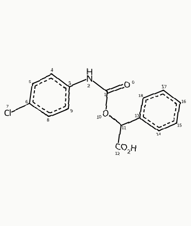 O=C(Nc1ccc(Cl)cc1)OC(C(=O)O)c1ccccc1